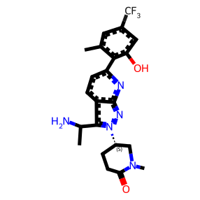 Cc1cc(C(F)(F)F)cc(O)c1-c1ccc2c(C(C)N)n([C@H]3CCC(=O)N(C)C3)nc2n1